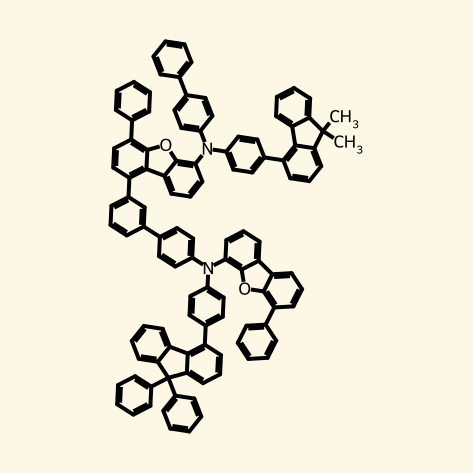 CC1(C)c2ccccc2-c2c(-c3ccc(N(c4ccc(-c5ccccc5)cc4)c4cccc5c4oc4c(-c6ccccc6)ccc(-c6cccc(-c7ccc(N(c8ccc(-c9cccc%10c9-c9ccccc9C%10(c9ccccc9)c9ccccc9)cc8)c8cccc9c8oc8c(-c%10ccccc%10)cccc89)cc7)c6)c45)cc3)cccc21